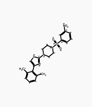 Cc1cccc(C)c1-c1csc(N2CCN(S(=O)(=O)c3cccc([N+](=O)[O-])c3)CC2)n1